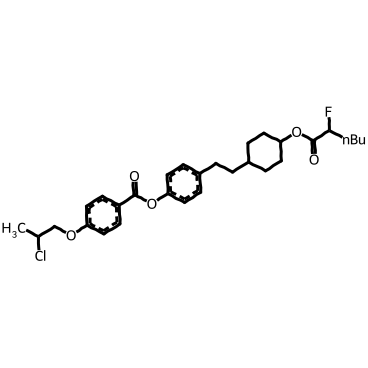 CCCCC(F)C(=O)OC1CCC(CCc2ccc(OC(=O)c3ccc(OCC(C)Cl)cc3)cc2)CC1